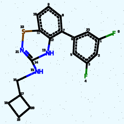 Fc1cc(F)cc(-c2cccc3c2NC(NCC2CCC2)=NS3)c1